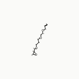 C=CCOCCOCCCOCC1CO1